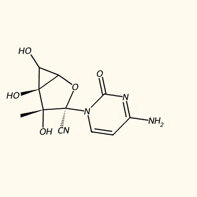 C[C@@]1(O)[C@]2(O)C(O)C2O[C@@]1(C#N)n1ccc(N)nc1=O